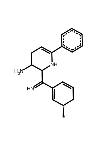 C[C@H]1C=C(C(=N)C2NC(c3ccccc3)=CCC2N)C=CC1